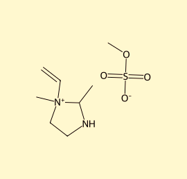 C=C[N+]1(C)CCNC1C.COS(=O)(=O)[O-]